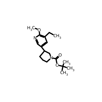 CCc1cc(C2CCCN(C(=O)OC(C)(C)C)C2)cnc1OC